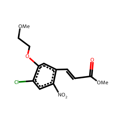 COCCOc1cc(C=CC(=O)OC)c([N+](=O)[O-])cc1Cl